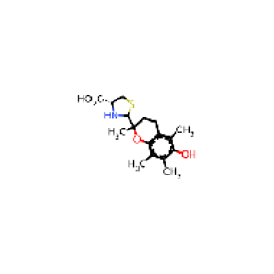 Cc1c(C)c2c(c(C)c1O)CCC(C)(C1N[C@H](C(=O)O)CS1)O2